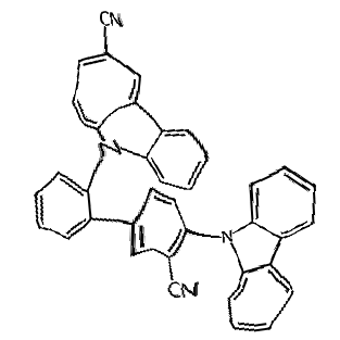 N#Cc1ccc2c(c1)c1ccccc1n2-c1ccccc1-c1ccc(-n2c3ccccc3c3ccccc32)c(C#N)c1